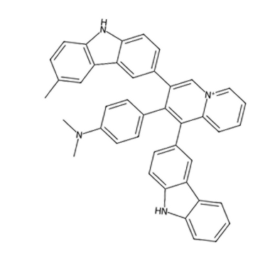 Cc1ccc2[nH]c3ccc(-c4c[n+]5ccccc5c(-c5ccc6[nH]c7ccccc7c6c5)c4-c4ccc(N(C)C)cc4)cc3c2c1